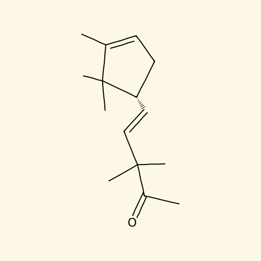 CC(=O)C(C)(C)C=C[C@H]1CC=C(C)C1(C)C